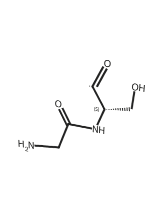 NCC(=O)N[C@H]([C]=O)CO